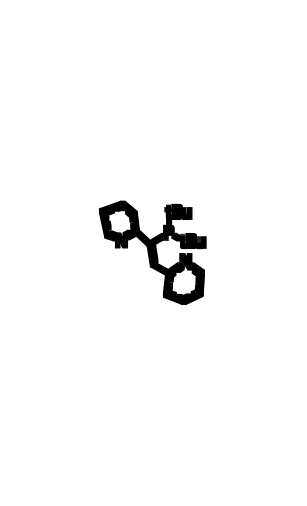 CC(C)(C)P(C(=Cc1ccccn1)c1ccccn1)C(C)(C)C